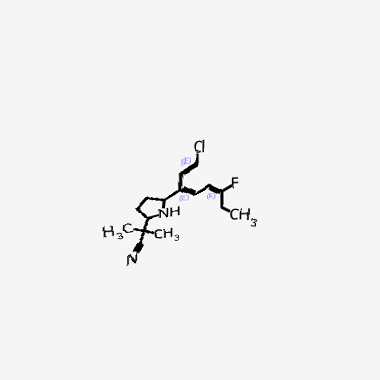 CC\C(F)=C/C=C(\C=C\Cl)C1CCC(C(C)(C)C#N)N1